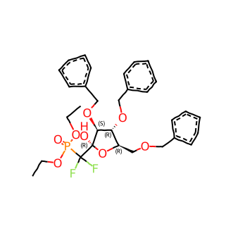 CCOP(=O)(OCC)C(F)(F)[C@]1(O)O[C@H](COCc2ccccc2)[C@@H](OCc2ccccc2)[C@@H]1OCc1ccccc1